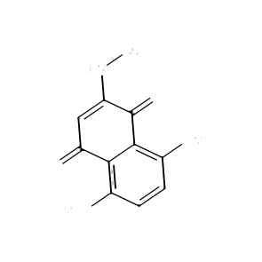 CCCCCCCCCNC1=CC(=O)c2c(OC)ccc(OC)c2C1=O